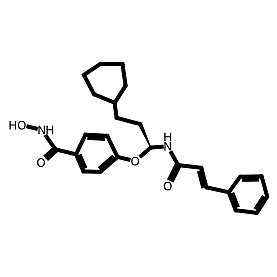 O=C(/C=C/c1ccccc1)N[C@H](CCC1CCCCC1)Oc1ccc(C(=O)NO)cc1